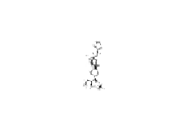 Cc1nc(F)ccc1/C(=N\OC(C)(C)C)C1CCC(n2ncc(NCC3CCCOC3)c(Cl)c2=O)CC1